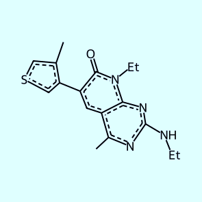 CCNc1nc(C)c2cc(-c3cscc3C)c(=O)n(CC)c2n1